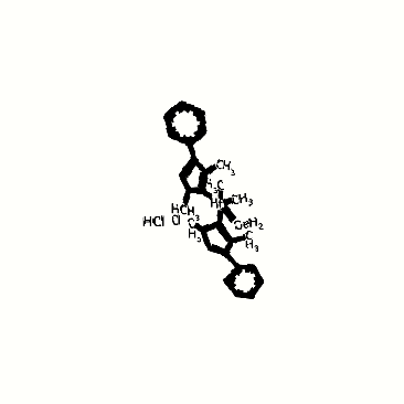 CC1=[C]([Hf]([CH3])([CH3])(=[GeH2])[C]2=C(C)C(c3ccccc3)=CC2C)C(C)C=C1c1ccccc1.Cl.Cl